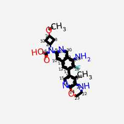 CO[C@H]1C[C@@H](N(C(=O)O)c2cc3cc(-c4cnc5c(c4C)NCCO5)c(F)c(N)c3cn2)C1